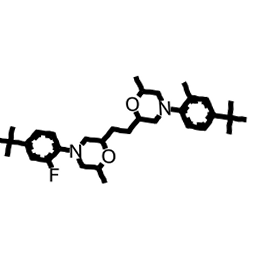 Cc1cc(C(C)(C)C)ccc1N1CC(C)OC(CCC2CN(c3ccc(C(C)(C)C)cc3F)CC(C)O2)C1